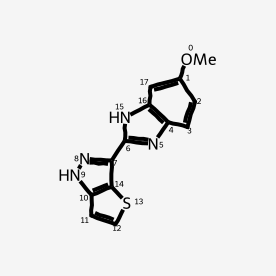 COc1ccc2nc(-c3n[nH]c4ccsc34)[nH]c2c1